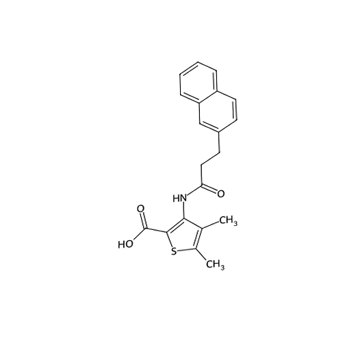 Cc1sc(C(=O)O)c(NC(=O)CCc2ccc3ccccc3c2)c1C